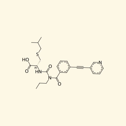 CCCN(C(=O)N[C@@H](CSCC(C)C)C(=O)O)C(=O)c1cccc(C#Cc2cccnc2)c1